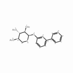 CC(=O)O[C@@H]1[C@@H](OC(C)=O)[C@@H](Oc2cccc(-c3cccnc3)n2)SC[C@H]1OC(C)=O